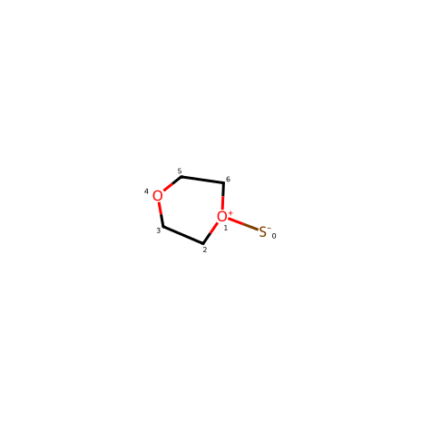 [S-][O+]1CCOCC1